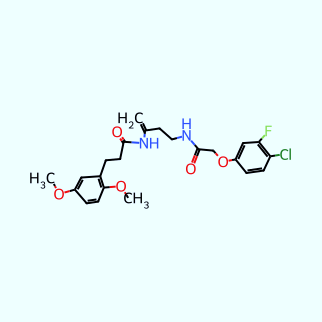 C=C(CCNC(=O)COc1ccc(Cl)c(F)c1)NC(=O)CCc1cc(OC)ccc1OC